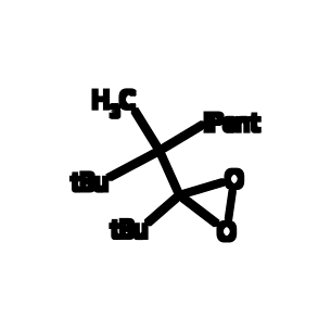 CCCC(C)C(C)(C(C)(C)C)C1(C(C)(C)C)OO1